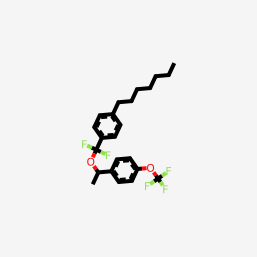 CCCCCCCc1ccc(C(F)(F)OC(C)c2ccc(OC(F)(F)F)cc2)cc1